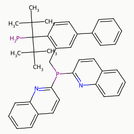 CC(C)(C)C(P)(c1ccc(-c2ccccc2)cc1CP(c1ccc2ccccc2n1)c1ccc2ccccc2n1)C(C)(C)C